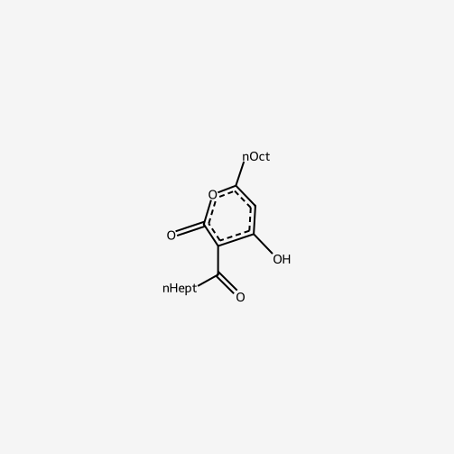 CCCCCCCCc1cc(O)c(C(=O)CCCCCCC)c(=O)o1